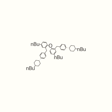 CCCCc1ccc(Oc2ccc(CCCC)cc2Cc2ccc([C@H]3CC[C@H](CCCC)CC3)cc2)c(Cc2ccc([C@H]3CC[C@H](CCCC)CC3)cc2)c1